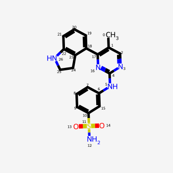 Cc1cnc(Nc2cccc(S(N)(=O)=O)c2)nc1-c1cccc2c1CCN2